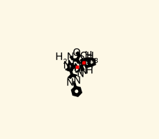 CC(=O)c1c([C@H]2C[C@H]3CC[C@@H](C2)N3C(=O)c2nnc[nH]2)nc2c(-c3cnc(-c4ccccc4)nc3)cnn2c1N